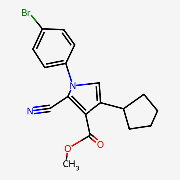 COC(=O)c1c(C2CCCC2)cn(-c2ccc(Br)cc2)c1C#N